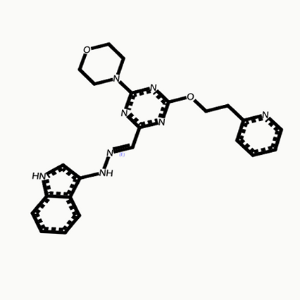 C(=N\Nc1c[nH]c2ccccc12)/c1nc(OCCc2ccccn2)nc(N2CCOCC2)n1